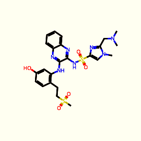 CN(C)Cc1nc(S(=O)(=O)Nc2nc3ccccc3nc2Nc2cc(O)ccc2CCS(C)(=O)=O)cn1C